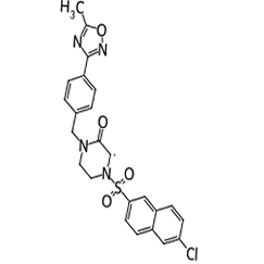 Cc1nc(-c2ccc(CN3CCN(S(=O)(=O)c4ccc5cc(Cl)ccc5c4)[CH]C3=O)cc2)no1